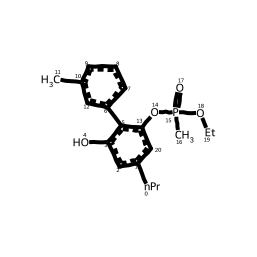 CCCc1cc(O)c(-c2cccc(C)c2)c(OP(C)(=O)OCC)c1